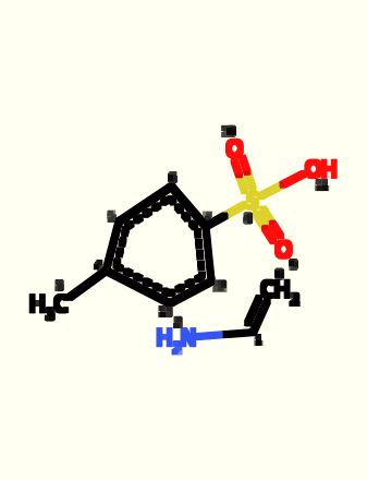 C=CN.Cc1ccc(S(=O)(=O)O)cc1